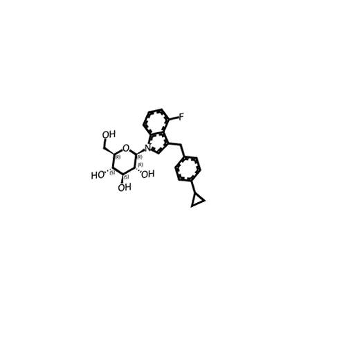 OC[C@H]1O[C@@H](n2cc(Cc3ccc(C4CC4)cc3)c3c(F)cccc32)[C@H](O)[C@@H](O)[C@@H]1O